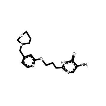 Nc1cnc(CCCOc2cc(CN3CCCCC3)ccn2)[nH]c1=O